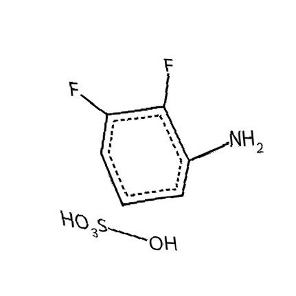 Nc1cccc(F)c1F.O=S(=O)(O)O